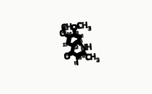 COc1cc2[nH]c(C)c(I)c(=O)c2cc1OC